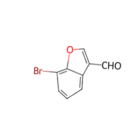 O=Cc1coc2c(Br)cccc12